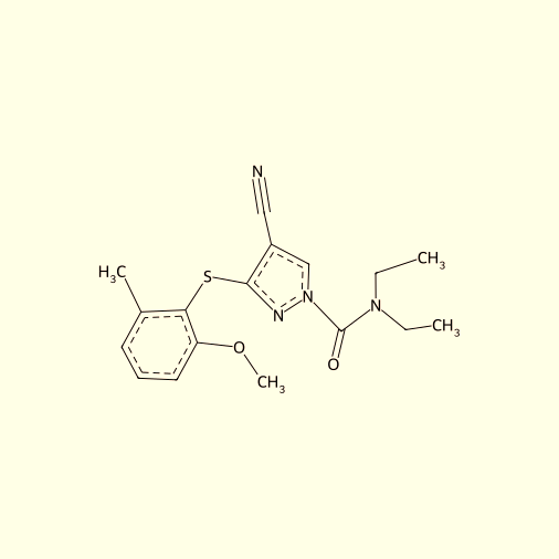 CCN(CC)C(=O)n1cc(C#N)c(Sc2c(C)cccc2OC)n1